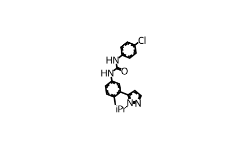 Cc1ccc(NC(=O)Nc2ccc(Cl)cc2)cc1-c1ccnn1C(C)C